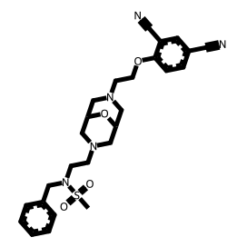 CS(=O)(=O)N(CCN1CC2CN(CCOc3ccc(C#N)cc3C#N)CC(C1)O2)Cc1ccccc1